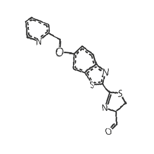 O=CC1CSC(c2nc3ccc(OCc4ccccn4)cc3s2)=N1